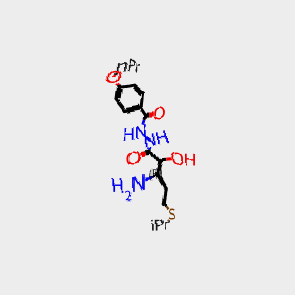 CCCOc1ccc(C(=O)NNC(=O)C(O)[C@H](N)CCSC(C)C)cc1